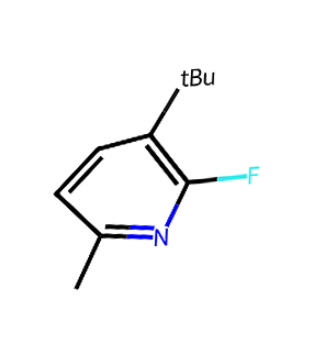 Cc1ccc(C(C)(C)C)c(F)n1